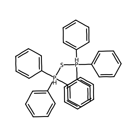 c1ccc([PH](S[PH](c2ccccc2)(c2ccccc2)c2ccccc2)(c2ccccc2)c2ccccc2)cc1